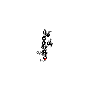 CC(C)c1ccccc1[C@H]1CN(C)CCN1N1CC2(CCN(c3ccc(C(=O)NS(=O)(=O)c4cc5c(c([N+](=O)[O-])c4)N[C@@H]([C@H]4CC[C@](C)(O)CC4)CO5)c(Oc4cnc5[nH]cc(F)c5c4)c3)CC2)C1